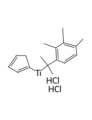 Cc1ccc([C](C)(C)[Ti][C]2=CC=CC2)c(C)c1C.Cl.Cl